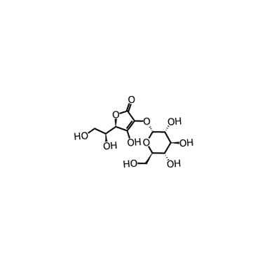 O=C1O[C@H]([C@@H](O)CO)C(O)=C1O[C@H]1O[C@H](CO)[C@@H](O)[C@H](O)[C@H]1O